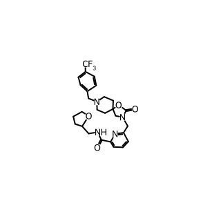 O=C(NCC1CCCO1)c1cccc(CN2CC3(CCN(Cc4ccc(C(F)(F)F)cc4)CC3)OC2=O)n1